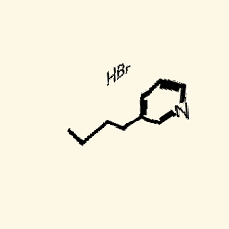 Br.CCCCc1cccnc1